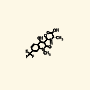 C[C@H](NC(=O)c1c(O)c2ccc(C(F)(F)F)cc2n(C)c1=O)C(=O)O